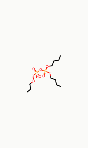 CCCCOP(=O)(OCCCC)OP(=O)(O)OOCCC